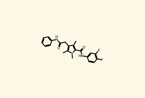 Cc1c(CC(=O)Nc2ccccc2)c(C)n(C)c1C(=O)Nc1ccc(F)c(F)c1